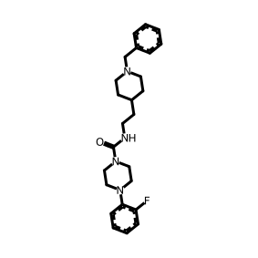 O=C(NCCC1CCN(Cc2ccccc2)CC1)N1CCN(c2ccccc2F)CC1